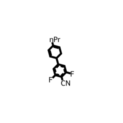 CCCC1=CCC(c2cc(F)c(C#N)c(F)c2)C=C1